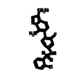 CCOC(=O)c1cnn2c(N)c(-c3ccc(NS(=O)(=O)c4ccccc4Cl)cc3F)cnc12